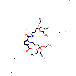 CCO[Si](CCCNC(=O)c1ccc(C(=O)O)n1CCC[Si](OCC)(OCC)OCC)(OCC)OCC